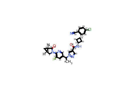 CC(c1cnc(N2C[C@H]3C[C@H]3C2=O)c(F)c1)n1cc(C(=O)N[C@H]2C[C@@H](c3cc(Cl)ccc3C#N)C2)cn1